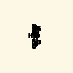 COc1cc(C(=O)N2CCOCC2)c(F)cc1Nc1ncc(C(F)(F)F)c(-c2ccn(C)n2)n1